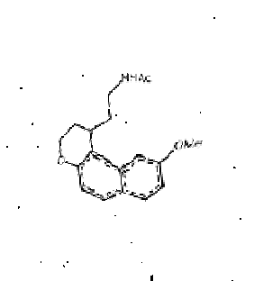 COc1ccc2ccc3c(c2c1)C(CCNC(C)=O)CCO3